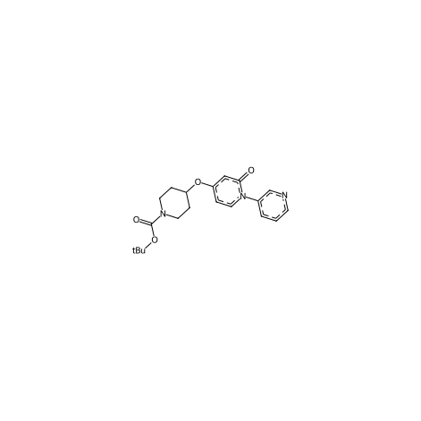 CC(C)(C)OC(=O)N1CCC(Oc2ccn(-c3cccnc3)c(=O)c2)CC1